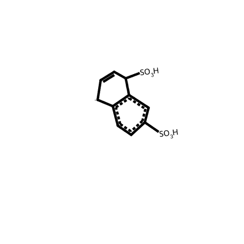 O=S(=O)(O)c1ccc2c(c1)C(S(=O)(=O)O)C=C[CH]2